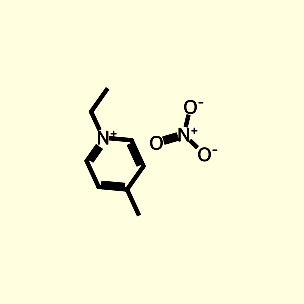 CC[n+]1ccc(C)cc1.O=[N+]([O-])[O-]